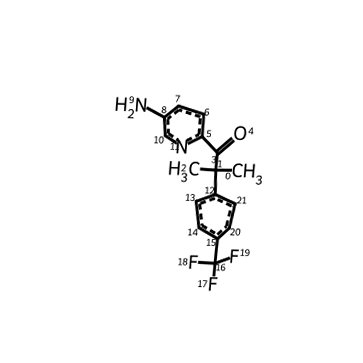 CC(C)(C(=O)c1ccc(N)cn1)c1ccc(C(F)(F)F)cc1